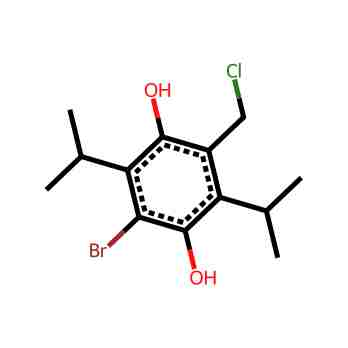 CC(C)c1c(O)c(CCl)c(C(C)C)c(O)c1Br